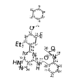 CCc1cc(OCc2ccccc2)c(F)cc1-c1nc(NCc2ccccc2N(C)S(C)(=O)=O)c2cn[nH]c2n1